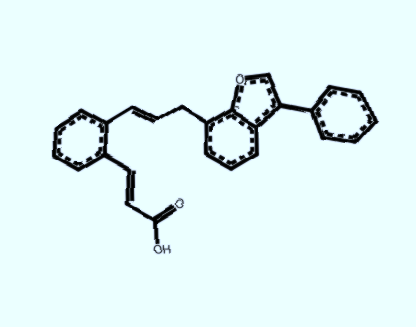 O=C(O)C=Cc1ccccc1C=CCc1cccc2c(-c3ccccc3)coc12